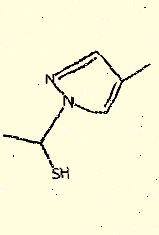 Cc1cnn(C(C)S)c1